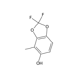 Cc1c(O)ccc2c1OC(F)(F)O2